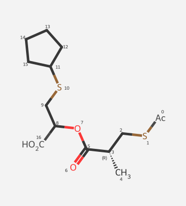 CC(=O)SC[C@H](C)C(=O)OC(CSC1CCCC1)C(=O)O